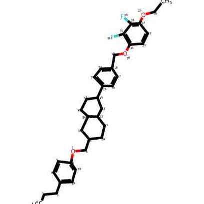 CCCc1ccc(OCC2CCC3CC(c4ccc(COc5ccc(OCC)c(F)c5F)cc4)CCC3C2)cc1